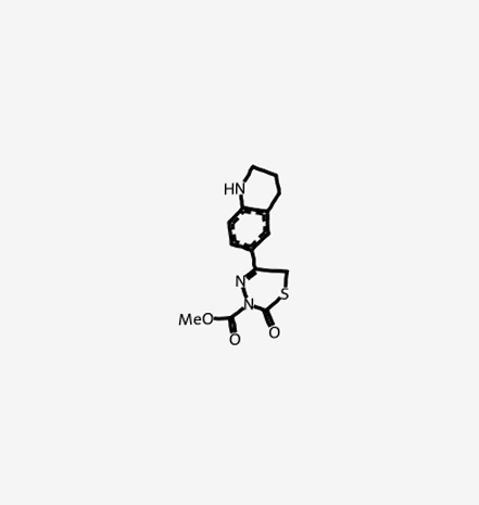 COC(=O)N1N=C(c2ccc3c(c2)CCCN3)CSC1=O